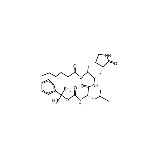 BC(B)(OC(=O)N[C@@H](CC(C)C)C(=O)N[C@@H](C[C@@H]1CCNC1=O)C(C)OC(=O)CCCCC)c1ccccc1